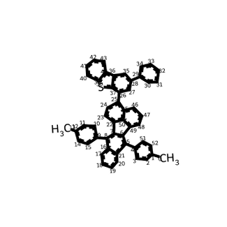 Cc1ccc(-c2c3c(c(-c4ccc(C)cc4)c4ccccc24)-c2ccc(-c4cc(-c5ccccc5)cc5c4sc4ccccc45)c4cccc-3c24)cc1